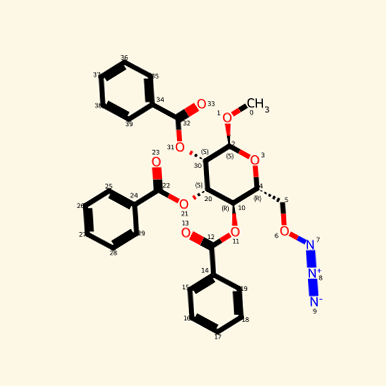 CO[C@H]1O[C@H](CON=[N+]=[N-])[C@@H](OC(=O)c2ccccc2)[C@H](OC(=O)c2ccccc2)[C@@H]1OC(=O)c1ccccc1